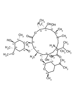 CC[C@H]1OC(=O)[C@H](C)[C@@H](O[C@H]2C[C@@](C)(OC)[C@@H](O)[C@H](C)O2)[C@H](C)[C@@H](O[C@@H]2O[C@H](C)CC(N(C)C)[C@H]2OC(=O)C(N)C(C)C)[C@](C)(O)C[C@@H](C)CN(C)[C@H](C)[C@@H](O)[C@]1(C)O